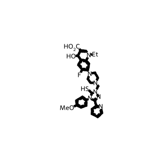 CCN1C=C(C(=O)O)C(O)c2cc(F)c(N3CCN(CN4N=C(c5ccccn5)N(c5ccc(OC)cc5)C4S)CC3)cc21